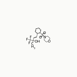 CC(O)(C=Cc1ccccc1S(=O)(=O)N1CCOCC1)C(F)(F)F